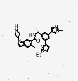 CCn1ccc(-c2cc(-c3cnn(C)c3)cc([C@@H](C)NC(=O)c3cc4c(ccn4C4CNC4)cc3C)c2)n1